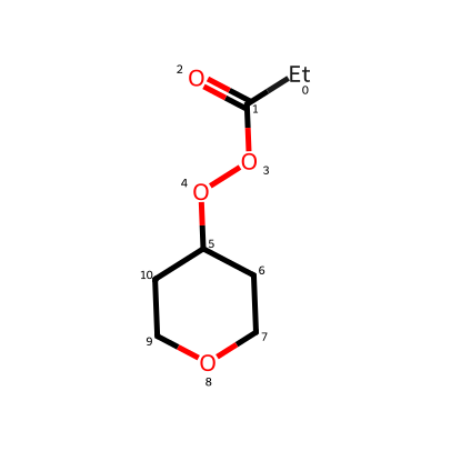 CCC(=O)OOC1CCOCC1